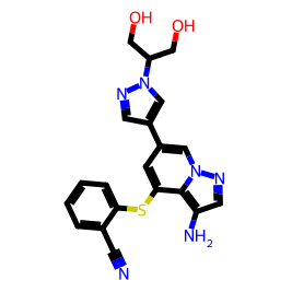 N#Cc1ccccc1Sc1cc(-c2cnn(C(CO)CO)c2)cn2ncc(N)c12